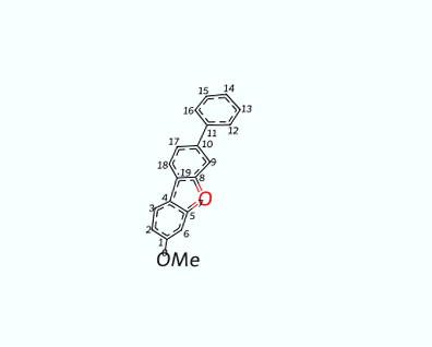 COc1ccc2c(c1)oc1cc(-c3ccccc3)ccc12